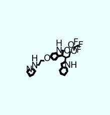 O=C(CC(c1cc2ccccc2[nH]1)c1c[nH]c2cc(OCCCNc3ccccn3)ccc12)OC(=O)C(F)(F)F